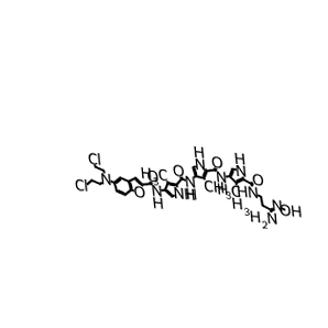 Cc1c(NC(=O)c2cc3cc(N(CCCl)CCCl)ccc3o2)c[nH]c1C(=O)Nc1c[nH]c(C(=O)Nc2c[nH]c(C(=O)NCCC(N)=NO)c2C)c1C